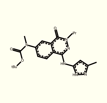 Cc1cc(Nc2nn(C(C)C)c(=O)c3cc(N(C)C(=O)OC(C)(C)C)ccc23)[nH]n1